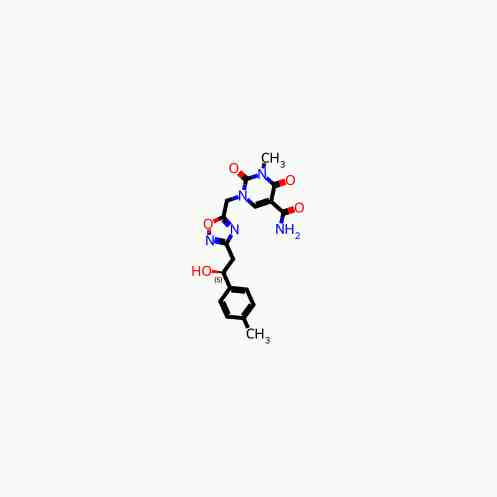 Cc1ccc([C@@H](O)Cc2noc(Cn3cc(C(N)=O)c(=O)n(C)c3=O)n2)cc1